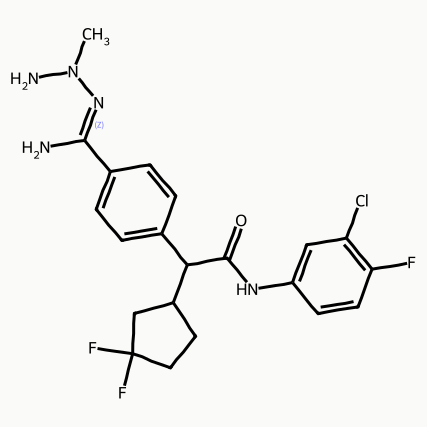 CN(N)/N=C(\N)c1ccc(C(C(=O)Nc2ccc(F)c(Cl)c2)C2CCC(F)(F)C2)cc1